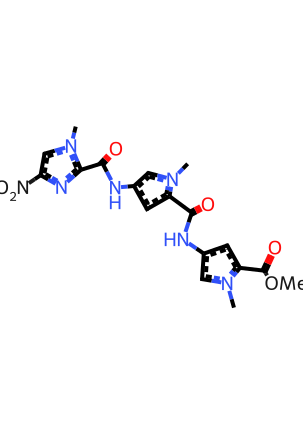 COC(=O)c1cc(NC(=O)c2cc(NC(=O)c3nc([N+](=O)[O-])cn3C)cn2C)cn1C